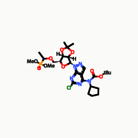 COP(=O)(OC)C(C)OC[C@H]1O[C@@H](n2ncc3c(N(C(=O)OC(C)(C)C)C4CCCC4)nc(Cl)nc32)[C@@H]2OC(C)(C)O[C@@H]21